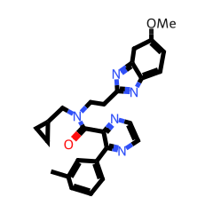 COC1=CC=C2N=C(CCN(CC3CC3)C(=O)c3nccnc3-c3cccc(C)c3)N=C2C1